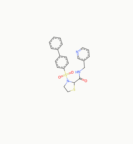 O=C(NCc1cccnc1)C1SCCN1S(=O)(=O)c1ccc(-c2ccccc2)cc1